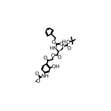 COC(=O)Nc1ccc(C(=O)COC(=O)[C@H](CNC(=O)OC(C)(C)C)NC(=O)OCc2ccccc2)c(O)c1